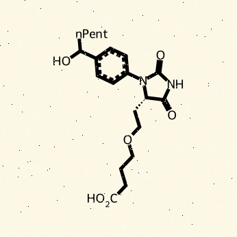 CCCCCC(O)c1ccc(N2C(=O)NC(=O)[C@@H]2CCOCCCC(=O)O)cc1